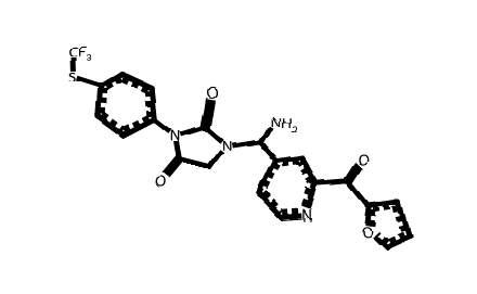 NC(c1ccnc(C(=O)c2ccco2)c1)N1CC(=O)N(c2ccc(SC(F)(F)F)cc2)C1=O